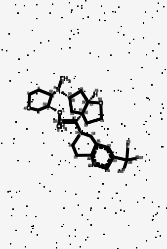 CO[C@@H]1COCC[C@@H]1N(C)[C@@H]1C[C@H]2OCC[C@@]2(C(=O)N2CCc3ncc(C(F)(F)F)cc3C2)C1